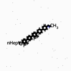 C/C=C/C1CCC(C2CCC(c3ccc(-c4ccc(-c5ccc(OCCCCCCC)c(F)c5F)cc4)c(F)c3F)CC2)CC1